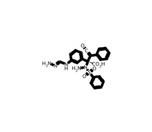 NN=CNc1cccc([C@@](C(=O)O)(C(=C=O)c2ccccc2)N(N)S(=O)(=O)c2ccccc2)c1